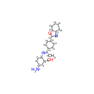 C/C(=N\c1ccc(N)cc1O)c1ccc(-c2nc3ccccc3o2)cc1